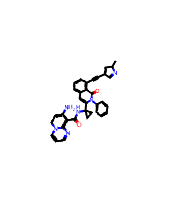 CC1C=C(C#Cc2cccc3cc(C4(NC(=O)C5=C6N=CC=CN6CC=C5N)CC4)n(-c4ccccc4)c(=O)c23)C=N1